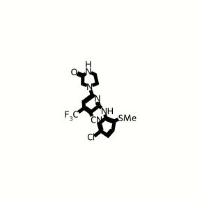 CSc1ccc(Cl)cc1Nc1nc(N2CCNC(=O)C2)cc(C(F)(F)F)c1C#N